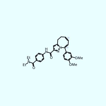 CCN(CC)C(=O)c1ccc(NC(=O)c2cc3n(n2)/C(c2ccc(OC)c(OC)c2)=C\C=C/CC3)cc1